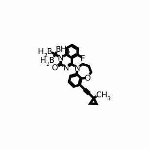 BC(B)(B)n1c(=O)nc(N2CCCOc3c(C#CC4(C)CC4)cccc32)c2c(F)cccc21